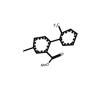 COC(=O)c1cc(I)ccc1-c1ccccc1C(F)(F)F